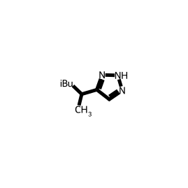 CCC(C)C(C)c1cn[nH]n1